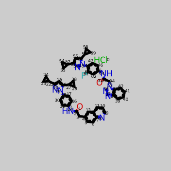 Cl.O=C(Cc1ccc2ncccc2c1)Nc1ccc(-n2nc(C3CC3)cc2C2CC2)cc1.O=C(Cn1nnc2ccccc21)Nc1ccc(-n2nc(C3CC3)cc2C2CC2)c(F)c1